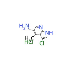 Cc1c(CN)cnc2[nH]cc(Cl)c12.Cl